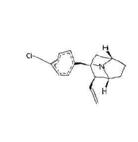 C=C[C@H]1[C@@H](c2ccc(Cl)cc2)C[C@@H]2CC[C@H]1N2C